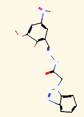 COc1cc([N+](=O)[O-])cc(/C=N/NC(=O)Cn2nnc3ccccc32)c1O